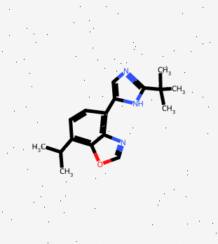 CC(C)c1ccc(-c2cnc(C(C)(C)C)[nH]2)c2ncoc12